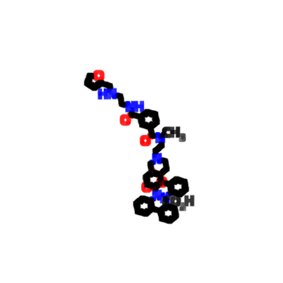 CN(CCN1CCC(OC(=O)N(c2ccccc2-c2ccccc2)N(C(=O)O)c2ccccc2-c2ccccc2)CC1)C(=O)c1cccc(C(=O)NCCNCc2ccco2)c1